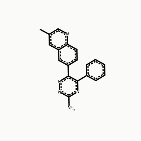 Cc1cnc2ccc(-c3nnc(N)nc3-c3ccccc3)cc2c1